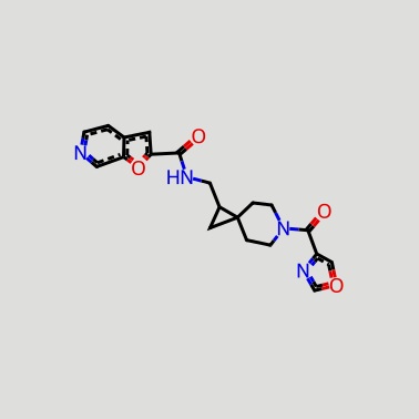 O=C(NCC1CC12CCN(C(=O)c1cocn1)CC2)c1cc2ccncc2o1